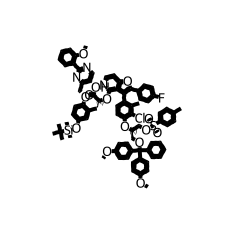 COc1ccc(C(OC[C@H](COS(=O)(=O)c2ccc(C)cc2)Oc2ccc(-c3c(-c4ccc(F)cc4)oc4ccnc(O[C@H](Cc5cc(O[Si](C)(C)C(C)(C)C)ccc5OCc5ccnc(-c6ccccc6OC)n5)C(=O)O)c34)c(C)c2Cl)(c2ccccc2)c2ccc(OC)cc2)cc1